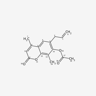 C=CCc1cc2c(C)cc(=O)oc2c(C)c1OC(C)=O